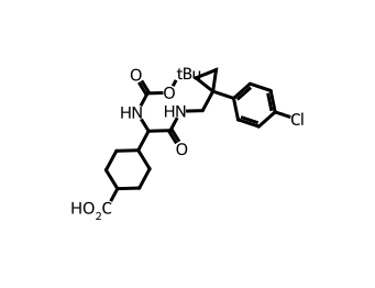 CC(C)(C)OC(=O)NC(C(=O)NCC1(c2ccc(Cl)cc2)CC1)C1CCC(C(=O)O)CC1